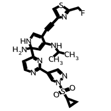 CC(C)NC1=CC(N)(c2ccnc(-c3cnn(S(=O)(=O)C4CC4)c3)n2)NC=C1C#Cc1csc(CF)n1